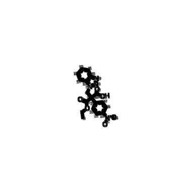 CCOC(=O)C(Cn1nnc2ccccc21)(C(=O)O)c1ccc([N+](=O)[O-])cc1